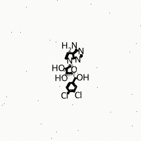 Nc1ncnc2c1ccn2[C@@H]1O[C@H](C(O)c2ccc(Cl)c(Cl)c2)[C@@H](O)[C@H]1O